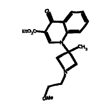 CCOC(=O)c1cn(C2(C)CN(CCOC)C2)c2ccccc2c1=O